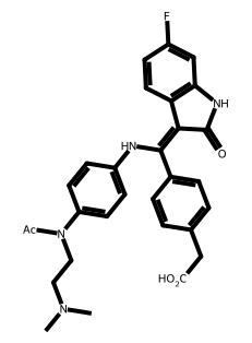 CC(=O)N(CCN(C)C)c1ccc(NC(=C2C(=O)Nc3cc(F)ccc32)c2ccc(CC(=O)O)cc2)cc1